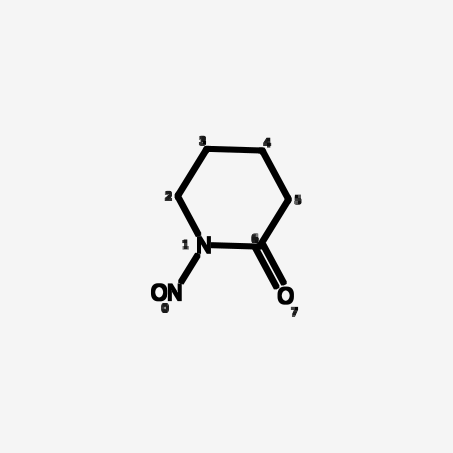 O=NN1CCCCC1=O